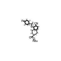 CCCCOC(=O)N1CCc2ccc(C#N)c(SC(C)c3ccc(F)cc3)c2CC1